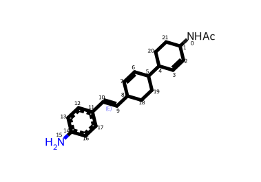 CC(=O)NC1C=CC(C2C=CC(/C=C/c3ccc(N)cc3)CC2)CC1